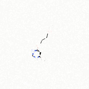 CCCCOCCCCOc1cc(C(F)(F)F)ncn1